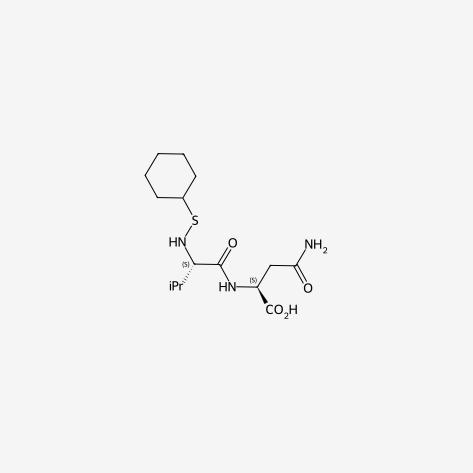 CC(C)[C@H](NSC1CCCCC1)C(=O)N[C@@H](CC(N)=O)C(=O)O